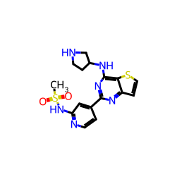 CS(=O)(=O)Nc1cc(-c2nc(NC3CCNC3)c3sccc3n2)ccn1